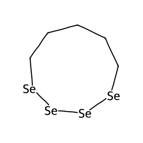 C1CC[Se][Se][Se][Se]CC1